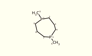 CP1CCCP(C)CCC1